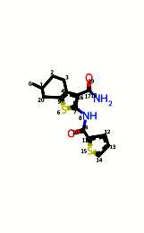 CC1CCc2c(sc(NC(=O)c3cccs3)c2C(N)=O)C1